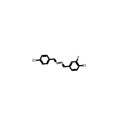 CCc1ccc(/C=N/N=C/c2ccc(CC)c(F)c2)cc1